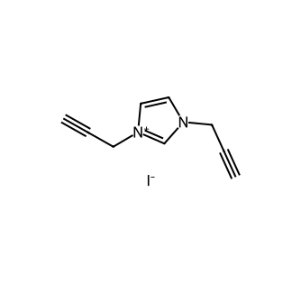 C#CCn1cc[n+](CC#C)c1.[I-]